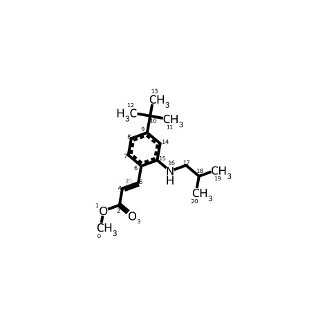 COC(=O)/C=C/c1ccc(C(C)(C)C)cc1NCC(C)C